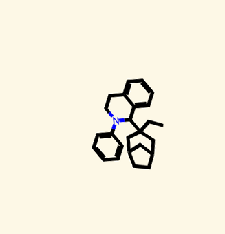 CCC1(C2c3ccccc3CCN2c2ccccc2)CC2CCC(C2)C1